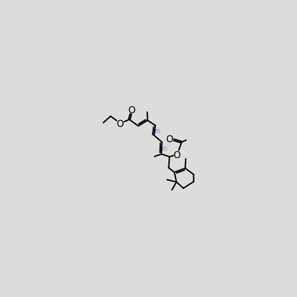 CCOC(=O)C=C(C)/C=C/C=C(\C)C(CC1=C(C)CCCC1(C)C)OC(C)=O